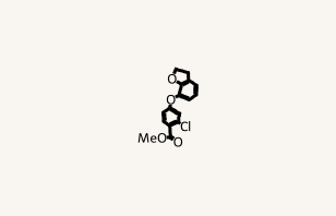 COC(=O)c1ccc(Oc2cccc3c2OCC3)cc1Cl